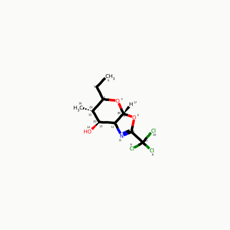 CCC1O[C@@H]2OC(C(Cl)(Cl)Cl)=NC2[C@@H](O)[C@@H]1C